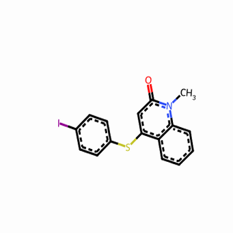 Cn1c(=O)cc(Sc2ccc(I)cc2)c2ccccc21